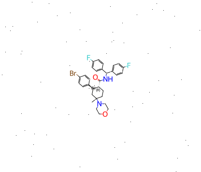 CC1(N2CCOCC2)CC[C@@H](C(=O)NC(c2ccc(F)cc2)c2ccc(F)cc2)[C@H](c2ccc(Br)cc2)C1